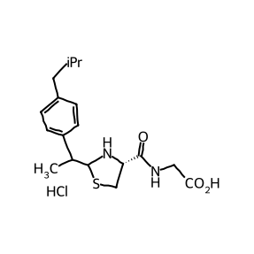 CC(C)Cc1ccc(C(C)C2N[C@H](C(=O)NCC(=O)O)CS2)cc1.Cl